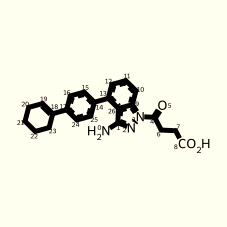 Nc1nn(C(=O)CCC(=O)O)c2cccc(-c3ccc(C4=CCCCC4)cc3)c12